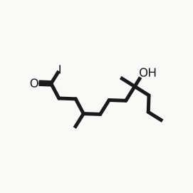 CCCC(C)(O)CCCC(C)CCC(=O)I